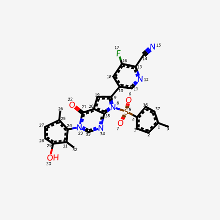 Cc1ccc(S(=O)(=O)n2c(-c3cnc(C#N)c(F)c3)cc3c(=O)n(-c4c(C)ccc(O)c4C)cnc32)cc1